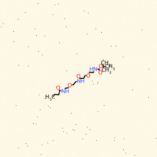 CCCC(=O)NCCOCCNC(=O)CCOCCNC(=O)OC(C)(C)C